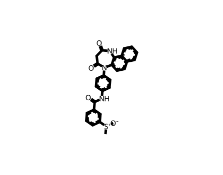 C[S+]([O-])c1cccc(C(=O)Nc2ccc(N3C(=O)CC(=O)Nc4c3ccc3ccccc43)cc2)c1